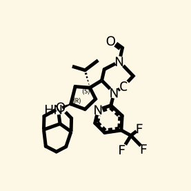 CC(C)[C@]1(C2CN(C=O)CCN2c2cc(C(F)(F)F)ccn2)CC[C@@H](NC2C3CCCC2COC3)C1